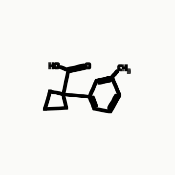 Cc1cccc(C2(C(=O)O)CCC2)c1